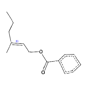 CCC/C(C)=C/COC(=O)c1ccccc1